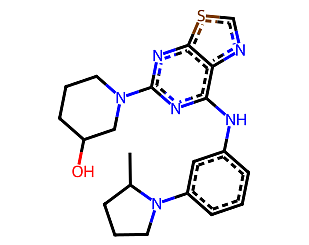 CC1CCCN1c1cccc(Nc2nc(N3CCCC(O)C3)nc3scnc23)c1